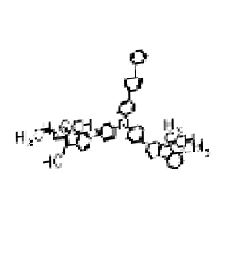 C#CC1=C(C/C=C\C)C(C)(C)c2cc(-c3ccc(N(c4ccc(-c5ccc(-c6ccccc6)cc5)cc4)c4ccc(-c5ccc6c(c5)C(C)(C)C5=C6C=CCC5C)cc4)cc3)ccc21